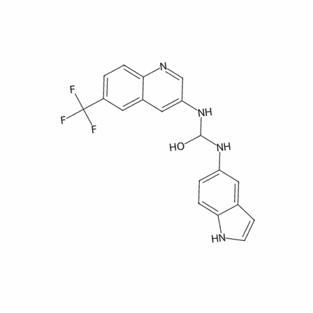 OC(Nc1cnc2ccc(C(F)(F)F)cc2c1)Nc1ccc2[nH]ccc2c1